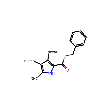 CCCCCc1c(C=O)[nH]c(C(=O)OCc2ccccc2)c1CCCCC